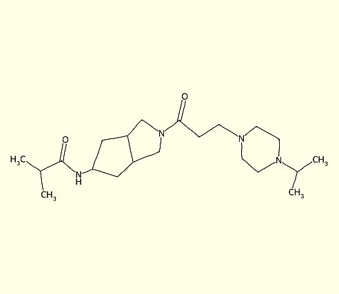 CC(C)C(=O)NC1CC2CN(C(=O)CCN3CCN(C(C)C)CC3)CC2C1